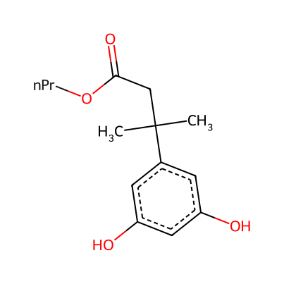 CCCOC(=O)CC(C)(C)c1cc(O)cc(O)c1